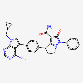 NC(=O)c1c2n(n(-c3ccccc3)c1=O)CCC2c1ccc(-c2cn(CC3CC3)c3ncnc(N)c23)cc1